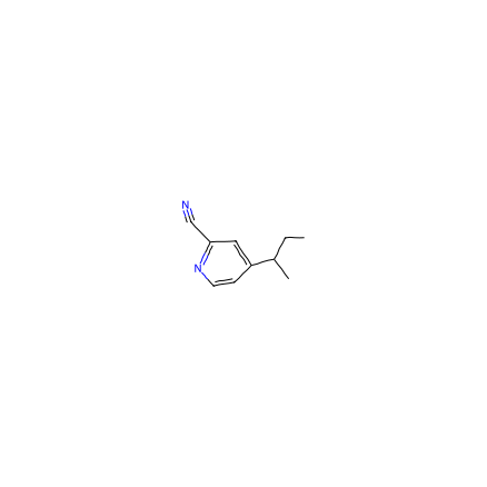 CCC(C)c1ccnc(C#N)c1